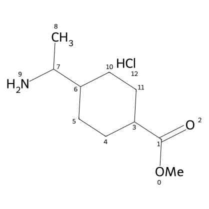 COC(=O)C1CCC(C(C)N)CC1.Cl